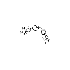 CCN(C)C1CCN(Cc2ccc(OC(F)(F)F)cc2)CC1